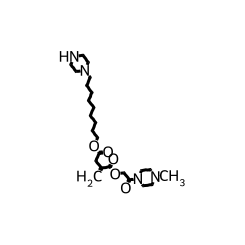 C=C(CC(=O)OCCCCCCCCCN1CCNCC1)C(=O)OCC(=O)N1CCN(C)CC1